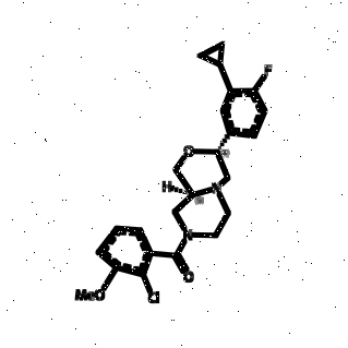 COc1cccc(C(=O)N2CCN3C[C@@H](c4ccc(F)c(C5CC5)c4)OC[C@@H]3C2)c1Cl